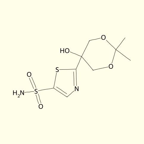 CC1(C)OCC(O)(c2ncc(S(N)(=O)=O)s2)CO1